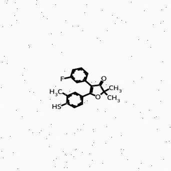 Cc1cc(C2=C(c3cccc(F)c3)C(=O)C(C)(C)O2)ccc1S